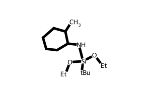 CCO[Si](NC1CCCCC1C)(OCC)C(C)(C)C